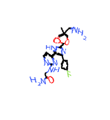 CC1(CN)COC(c2nc(-c3ccc(F)cc3)c(-c3ccnc(NCC(N)=O)n3)[nH]2)OC1